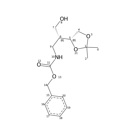 CC1(C)OC[C@@H]([C@@H](CO)CNC(=O)OCc2ccccc2)O1